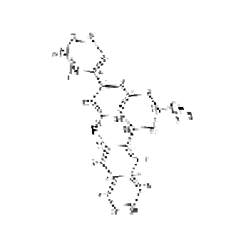 CN1Cc2cc(-c3cccnn3)ccc2C(c2cc3ccccc3cc2F)C1